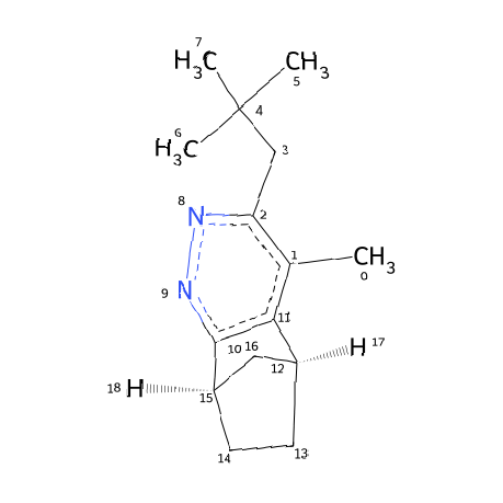 Cc1c(CC(C)(C)C)nnc2c1[C@H]1CC[C@@H]2C1